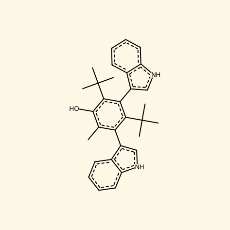 Cc1c(O)c(C(C)(C)C)c(-c2c[nH]c3ccccc23)c(C(C)(C)C)c1-c1c[nH]c2ccccc12